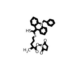 C=C(CCCSC(S)=C1c2ccccc2N(Cc2ccccc2)c2ccccc21)C(=O)ON1C(=O)CCC1=O